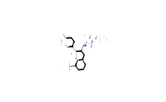 Cc1ccc(-c2nc3c(Cl)cccc3cc2/C=N/[S+]([O-])C(C)(C)C)cn1